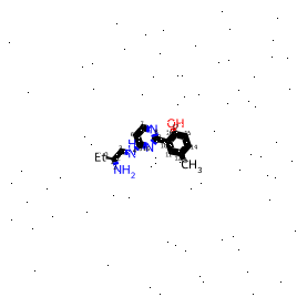 CC[C@H](N)CNc1ccnc(-c2cc(C)ccc2O)n1